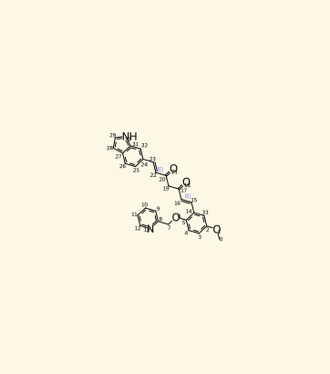 COc1ccc(OCc2ccccn2)c(/C=C/C(=O)CC(=O)/C=C/c2ccc3cc[nH]c3c2)c1